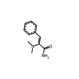 CN(C)C(=Cc1ccccc1)C(N)=O